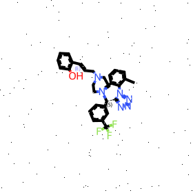 Cc1cccc(C)c1-n1nnnc1[C@H](c1cccc(C(F)(F)F)c1)N1CCN(C/C=C/c2ccccc2O)CC1